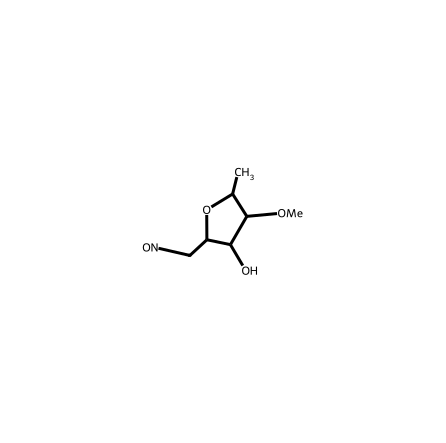 COC1C(C)OC(CN=O)C1O